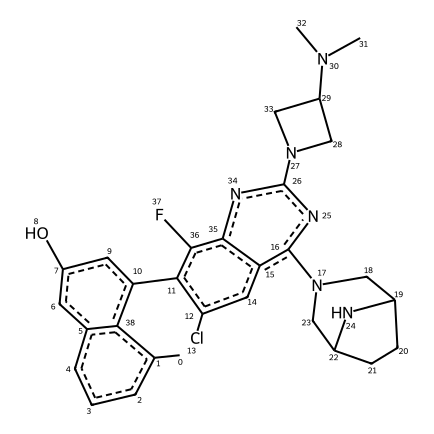 Cc1cccc2cc(O)cc(-c3c(Cl)cc4c(N5CC6CCC(C5)N6)nc(N5CC(N(C)C)C5)nc4c3F)c12